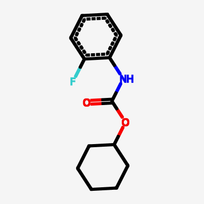 O=C(Nc1ccccc1F)OC1CCCCC1